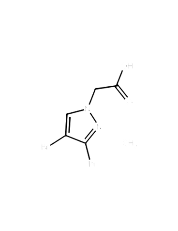 C.O=C(O)Cn1cc(Br)c(Br)n1